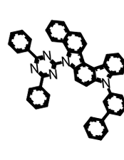 c1ccc(-c2cccc(-n3c4ccccc4c4c5c6ccc7ccccc7c6n(-c6nc(-c7ccccc7)nc(-c7ccccc7)n6)c5ccc43)c2)cc1